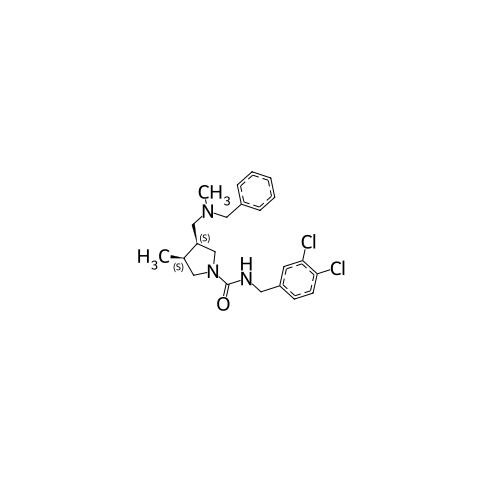 C[C@@H]1CN(C(=O)NCc2ccc(Cl)c(Cl)c2)C[C@@H]1CN(C)Cc1ccccc1